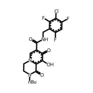 CCCCN1CCn2cc(C(=O)NCc3c(F)cc(F)c(Cl)c3F)c(=O)c(O)c2C1=O